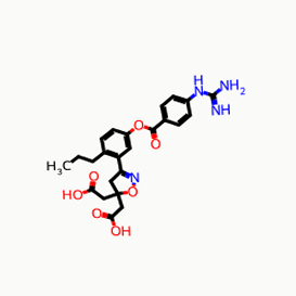 CCCc1ccc(OC(=O)c2ccc(NC(=N)N)cc2)cc1C1=NOC(CC(=O)O)(CC(=O)O)C1